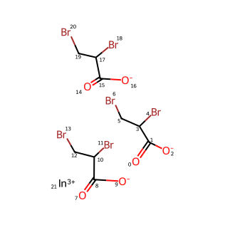 O=C([O-])C(Br)CBr.O=C([O-])C(Br)CBr.O=C([O-])C(Br)CBr.[In+3]